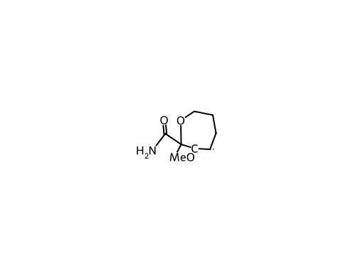 COC1(C(N)=O)C[CH]CCCO1